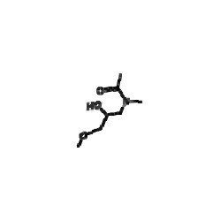 COCC(O)CN(C)C(C)=O